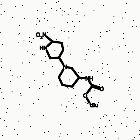 CC(C)(C)OC(=O)NC1CCCN(C2CCC([N+](=O)[O-])NC2)C1